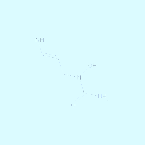 NC=CCN(O)C(N)=O